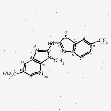 Cn1c(Nc2nc3ccc(C(F)(F)F)cc3s2)nc2cc(C(=O)O)cnc21